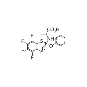 CC(NP(=O)(Oc1ccccc1)Sc1c(F)c(F)c(F)c(F)c1F)C(=O)O